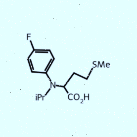 CSCCC(C(=O)O)N(c1ccc(F)cc1)C(C)C